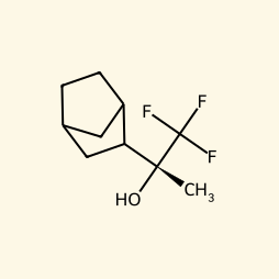 C[C@@](O)(C1CC2CCC1C2)C(F)(F)F